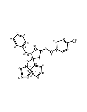 Clc1ccc(OCC2CC(Cn3ccnc3)(c3ccccc3)N(Cc3ccccc3)O2)cc1